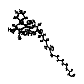 CCCCCCCCCCCCCCCCOc1ccc(-c2c(O)c(-c3ccccc3)cc(O)c2C(C)O)cc1